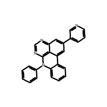 c1ccc(N2c3ccccc3-c3cc(-c4cccnc4)cc4ncnc2c34)cc1